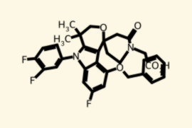 CC1(C)COC2(CCN(CC(=O)O)C(=O)C2)c2c1n(-c1ccc(F)c(F)c1)c1cc(F)cc(OCc3ccccc3)c21